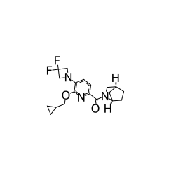 O=C(c1ccc(N2CC(F)(F)C2)c(OCC2CC2)n1)N1C[C@@H]2CC[C@H]1C2